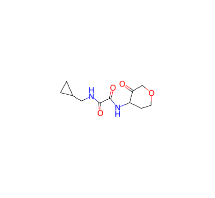 O=C(NCC1CC1)C(=O)NC1CCOCC1=O